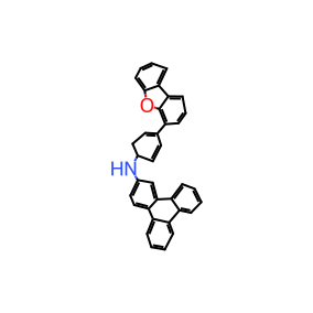 C1=CC(Nc2ccc3c4ccccc4c4ccccc4c3c2)CC=C1c1cccc2c1oc1ccccc12